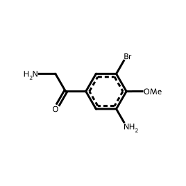 COc1c(N)cc(C(=O)CN)cc1Br